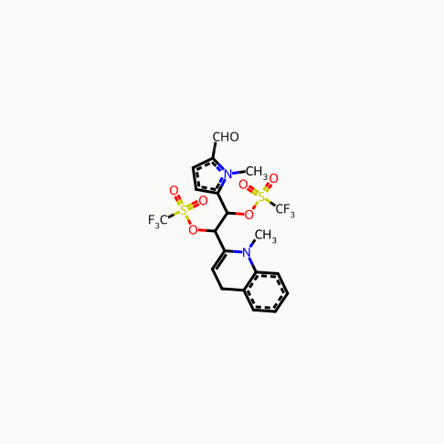 CN1C(C(OS(=O)(=O)C(F)(F)F)C(OS(=O)(=O)C(F)(F)F)c2ccc(C=O)n2C)=CCc2ccccc21